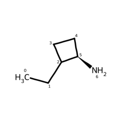 CCC1CC[C@H]1N